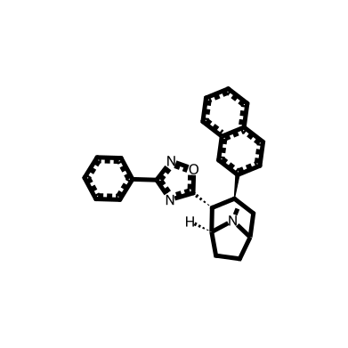 CN1C2CC[C@H]1[C@H](c1nc(-c3ccccc3)no1)[C@@H](c1ccc3ccccc3c1)C2